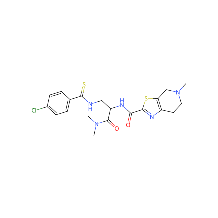 CN1CCc2nc(C(=O)NC(CNC(=S)c3ccc(Cl)cc3)C(=O)N(C)C)sc2C1